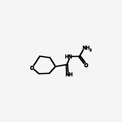 N=C(NC(N)=O)C1CCOCC1